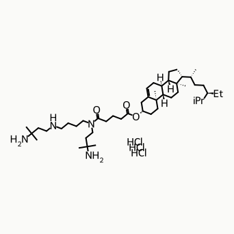 CC[C@H](CC[C@@H](C)[C@H]1CC[C@H]2[C@@H]3CC=C4C[C@@H](OC(=O)CCCC(=O)N(CCCCNCCC(C)(C)N)CCC(C)(C)N)CC[C@]4(C)[C@H]3CC[C@]12C)C(C)C.Cl.Cl.Cl